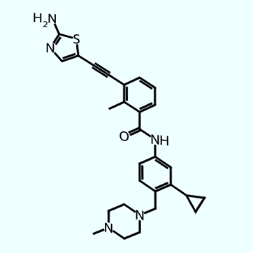 Cc1c(C#Cc2cnc(N)s2)cccc1C(=O)Nc1ccc(CN2CCN(C)CC2)c(C2CC2)c1